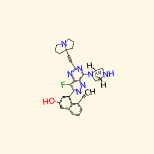 C#Cc1cccc2cc(O)cc(-c3nnc4c(N5C[C@@H]6C[C@H]5CN6)nc(C#CC56CCCN5CCC6)nc4c3F)c12